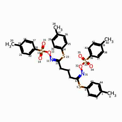 Cc1ccc(SC(CCCC(=NOS(=O)(=O)c2ccc(C)cc2)Sc2ccc(C)cc2)=NOS(=O)(=O)c2ccc(C)cc2)cc1